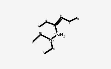 CCC=C(CC)[SiH2]N(CC)CC